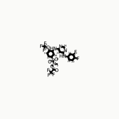 CN(OC(=O)C(F)(F)F)S(=O)(=O)c1ccc(OC(F)(F)F)c(Nc2cc(Nc3ccc(F)c(F)c3)ncn2)c1